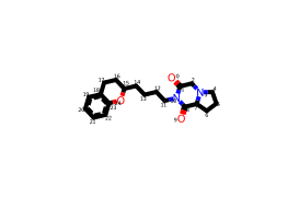 O=C1CN2CCCC2C(=O)N1CCCCC1CCc2ccccc2O1